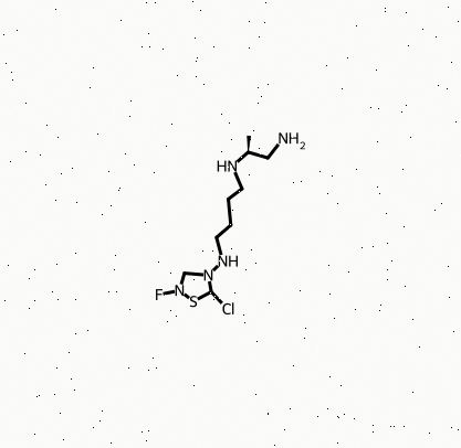 C[C@@H](CN)NCCCCNN1CN(F)SC1Cl